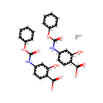 O=C(Nc1ccc(C(=O)[O-])c(O)c1)Oc1ccccc1.O=C(Nc1ccc(C(=O)[O-])c(O)c1)Oc1ccccc1.[Zn+2]